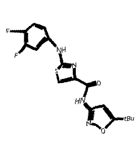 CC(C)(C)c1cc(NC(=O)c2csc(Nc3ccc(F)c(F)c3)n2)no1